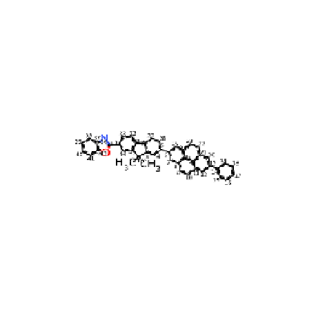 CC1(C)c2cc(-c3cc4ccc5cc(-c6ccccc6)cc6ccc(c3)c4c56)ccc2-c2ccc(-c3nc4ccccc4o3)cc21